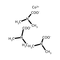 CN(C)C(=O)[O-].CN(C)C(=O)[O-].CN(C)C(=O)[O-].[Co+3]